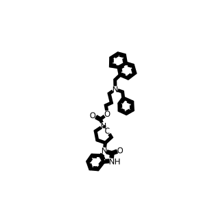 O=C(OCCCN(Cc1ccccc1)Cc1cccc2ccccc12)N1CCC(n2c(=O)[nH]c3ccccc32)CC1